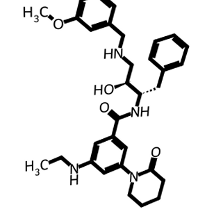 CCNc1cc(C(=O)N[C@@H](Cc2ccccc2)[C@@H](O)CNCc2cccc(OC)c2)cc(N2CCCCC2=O)c1